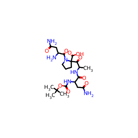 CC(NC(=O)C(CC(N)=O)NC(=O)OC(C)(C)C)C(=O)C1(C(=O)O)CCCN1C(=O)C(N)CC(N)=O